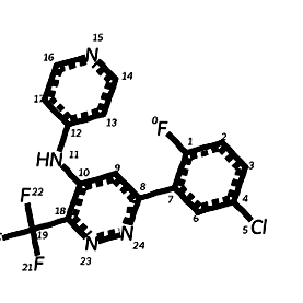 Fc1ccc(Cl)cc1-c1cc(Nc2ccncc2)c(C(F)(F)F)nn1